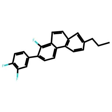 CCCc1ccc2c(ccc3c(F)c(-c4ccc(F)c(F)c4)ccc32)c1